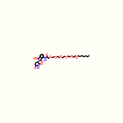 O=C1CCC(N2C(=O)c3c(NC(=O)COCCOCCOCCOCCOCCOCCCCCCI)cccc3C2O)C(=O)N1